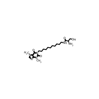 Cn1cnc2c1c(=O)n(CCCCCCCCCCCNC(=O)C(N)CO)c(=O)n2C